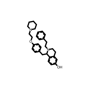 Oc1ccc2c(c1)CCN(CCc1ccccc1)C2Cc1ccc(OCCN2CCCCC2)cc1